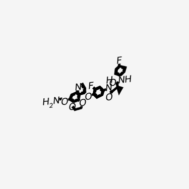 NCOc1cc2nccc(Oc3ccc(NC(=O)C4(C(=O)Nc5ccc(F)cc5)CC4)cc3F)c2c2c1OCCO2